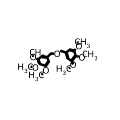 COc1cc(COCc2cc(OC)c(OC)c(OC)c2)cc(OC)c1OC